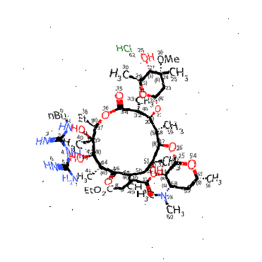 CCCCNC(=N)NC(=N)N.CCOC(=O)CCC(=O)O[C@H]1[C@H](O[C@@H]2[C@@H](C)[C@H](O[C@H]3C[C@@](C)(OC)[C@@H](O)[C@H](C)O3)[C@@H](C)C(=O)O[C@H](CC)[C@@](C)(O)[C@H](O)[C@@H](C)C(=O)[C@H](C)C[C@@]2(C)O)O[C@H](C)C[C@@H]1N(C)C.Cl